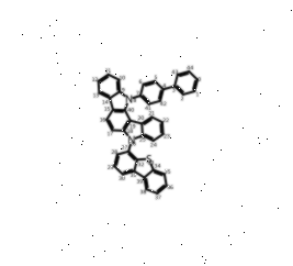 c1ccc(-c2ccc(-n3c4ccccc4c4ccc5c(c6ccccc6n5-c5cccc6c5sc5ccccc56)c43)cc2)cc1